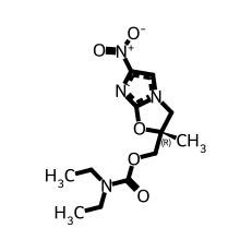 CCN(CC)C(=O)OC[C@@]1(C)Cn2cc([N+](=O)[O-])nc2O1